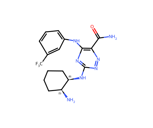 NC(=O)c1nnc(N[C@@H]2CCCC[C@@H]2N)nc1Nc1cccc(C(F)(F)F)c1